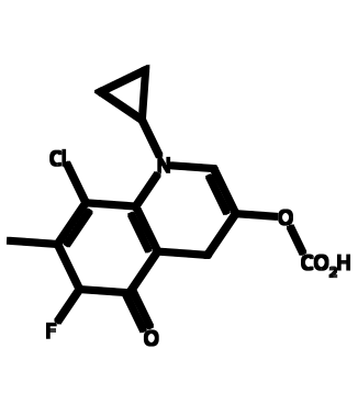 CC1=C(Cl)C2=C(CC(OC(=O)O)=CN2C2CC2)C(=O)C1F